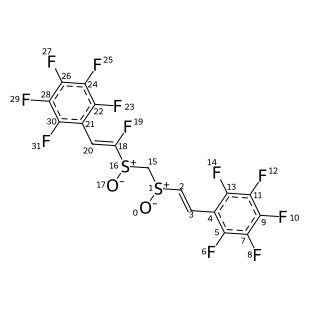 [O-][S+](C=Cc1c(F)c(F)c(F)c(F)c1F)C[S+]([O-])C(F)=Cc1c(F)c(F)c(F)c(F)c1F